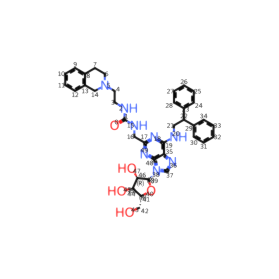 O=C(NCCN1CCc2ccccc2C1)NCc1nc(NCC(c2ccccc2)c2ccccc2)c2ncn([C@@H]3O[C@H](CO)[C@@H](O)[C@H]3O)c2n1